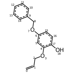 C=CCOc1cc(OCc2ccccc2)ccc1O